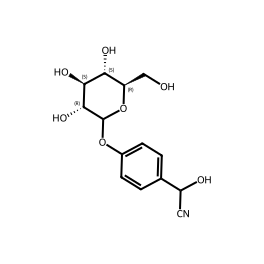 N#CC(O)c1ccc(OC2O[C@H](CO)[C@@H](O)[C@H](O)[C@H]2O)cc1